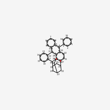 c1ccc(-c2c3ccccc3c(-c3ccccc3C3C4CC5CC(C4)CC3C5)c3ccccc23)cc1